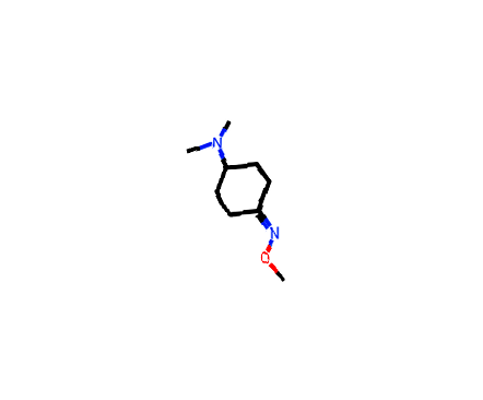 CON=C1CCC(N(C)C)CC1